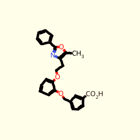 Cc1oc(-c2ccccc2)nc1CCOc1ccccc1OCc1cccc(C(=O)O)c1